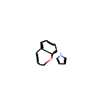 C1=Cc2ccccc2OC1.c1cc[nH]c1